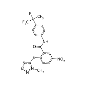 Cn1nnnc1Sc1ccc([N+](=O)[O-])cc1C(=O)Nc1ccc(C(F)(C(F)(F)F)C(F)(F)F)cc1